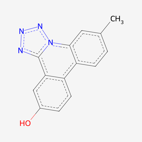 Cc1ccc2c3ccc(O)cc3c3nnnn3c2c1